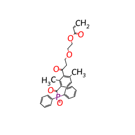 C=CC(=O)OCCOCCC(=O)c1c(C)ccc(C(=O)P(=O)(c2ccccc2)c2ccccc2)c1C